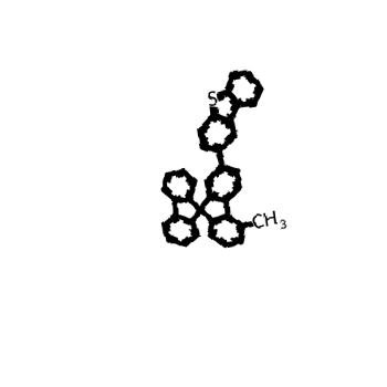 Cc1cccc2c1-c1ccc(-c3ccc4sc5ccccc5c4c3)cc1C21c2ccccc2-c2ccccc21